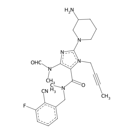 CC#CCn1c(N2CCCC(N)C2)nc(N(C)C=O)c1C(=O)N(C)Cc1cccc(F)c1C#N